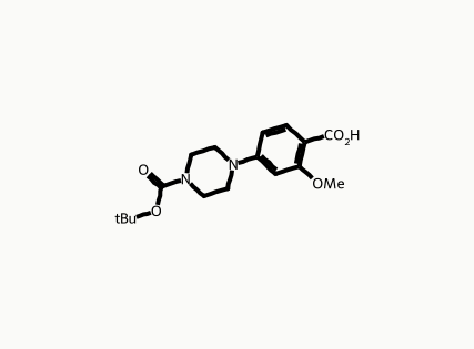 COc1cc(N2CCN(C(=O)OC(C)(C)C)CC2)ccc1C(=O)O